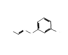 CCOC(=O)C=NNc1cccc(OC)c1